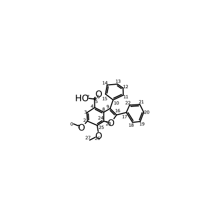 COc1cc(C(=O)O)c2c(-c3ccccc3)c(-c3ccccc3)oc2c1OC